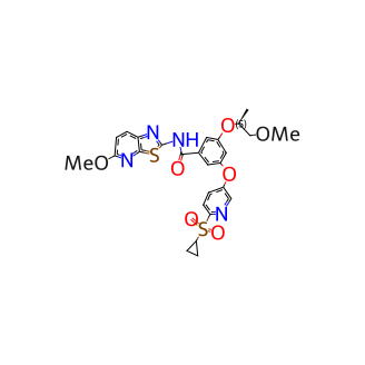 COC[C@H](C)Oc1cc(Oc2ccc(S(=O)(=O)C3CC3)nc2)cc(C(=O)Nc2nc3ccc(OC)nc3s2)c1